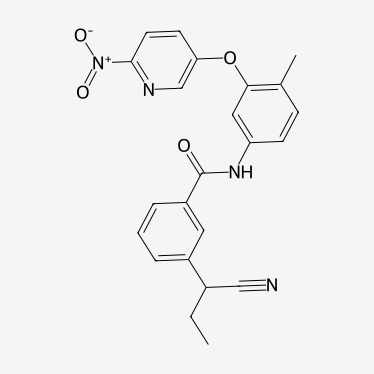 CCC(C#N)c1cccc(C(=O)Nc2ccc(C)c(Oc3ccc([N+](=O)[O-])nc3)c2)c1